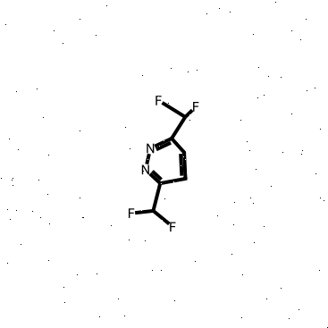 FC(F)c1ccc(C(F)F)nn1